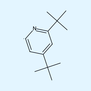 CC(C)(C)c1c[c]nc(C(C)(C)C)c1